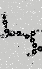 CCCCc1ccc(N(c2ccccc2)c2ccc(-c3ccc(N(c4ccc(CCCC)cc4)c4ccc(COc5ccc(C(CC(C)(C)C(C)(C)C(CC(C)(C)C)c6ccc(OCc7ccc(OC(F)=C(F)F)cc7)cc6)C(C)(C)C)cc5)cc4)cc3)cc2)cc1